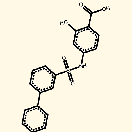 O=C(O)c1ccc(NS(=O)(=O)c2cccc(-c3ccccc3)c2)cc1O